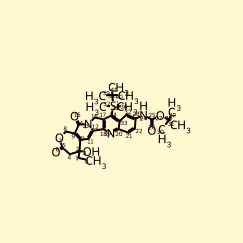 CCC1(O)CC(=O)OCc2c1cc1n(c2=O)Cc2c-1nc1ccc(NC(=O)OC(C)(C)C)cc1c2[Si](C)(C)C(C)(C)C